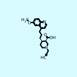 C#CCN1CC[C@@H](CCCc2ccnc3ccc(OC)cc23)[C@@H](C(=O)O)C1